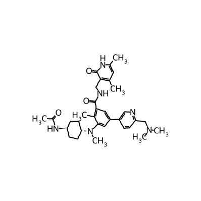 CC(=O)N[C@H]1CC[C@H](N(C)c2cc(-c3ccc(CN(C)C)nc3)cc(C(=O)NCc3c(C)cc(C)[nH]c3=O)c2C)CC1